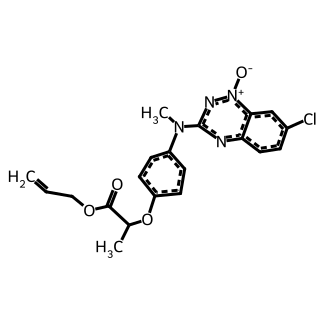 C=CCOC(=O)C(C)Oc1ccc(N(C)c2nc3ccc(Cl)cc3[n+]([O-])n2)cc1